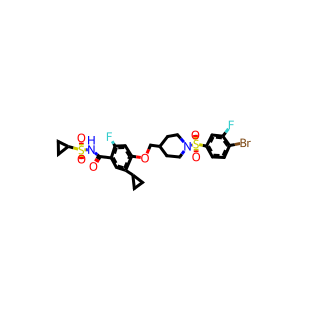 O=C(NS(=O)(=O)C1CC1)c1cc(C2CC2)c(OCC2CCN(S(=O)(=O)c3ccc(Br)c(F)c3)CC2)cc1F